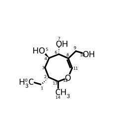 CC[C@@H]1C[C@@H](O)[C@H](O)C(CO)=COC1C